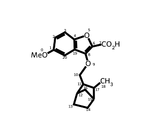 COc1ccc2oc(C(=O)O)c(OCC3C4CCC(C4)C3C)c2c1